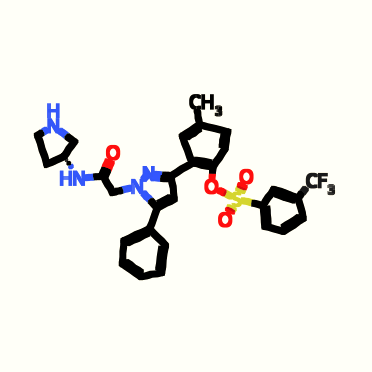 Cc1ccc(OS(=O)(=O)c2cccc(C(F)(F)F)c2)c(-c2cc(-c3ccccc3)n(CC(=O)N[C@@H]3CCNC3)n2)c1